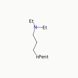 [CH2]CCCCCCCN(CC)CC